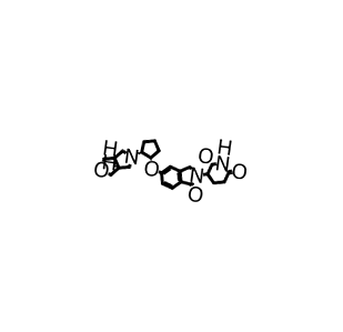 O=C1CCC(N2Cc3cc(O[C@H]4CCC[C@@H]4N4C[C@H]5COC[C@H]5C4)ccc3C2=O)C(=O)N1